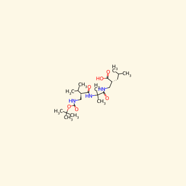 CC(C)C[C@H](CNC(=O)C(C)(C)NC(=O)[C@@H](CNC(=O)OC(C)(C)C)C(C)C)C(=O)O